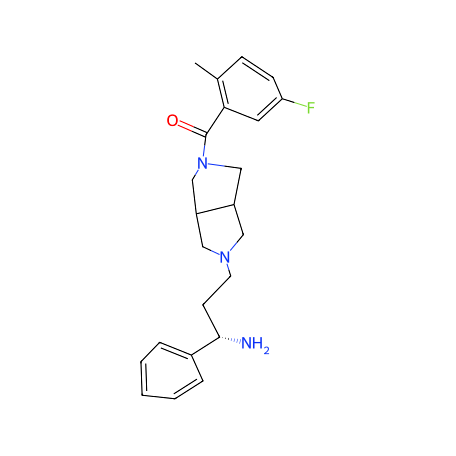 Cc1ccc(F)cc1C(=O)N1CC2CN(CC[C@H](N)c3ccccc3)CC2C1